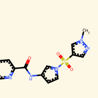 Cn1cc(S(=O)(=O)n2ccc(NC(=O)c3ccccn3)c2)cn1